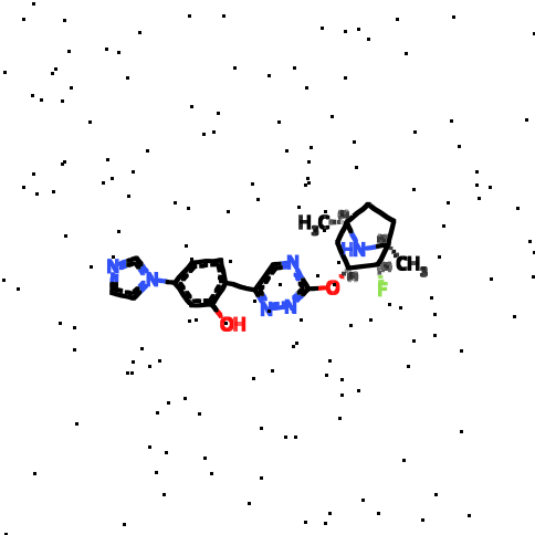 C[C@]12CC[C@](C)(N1)[C@H](F)[C@H](Oc1ncc(-c3ccc(-n4ccnc4)cc3O)nn1)C2